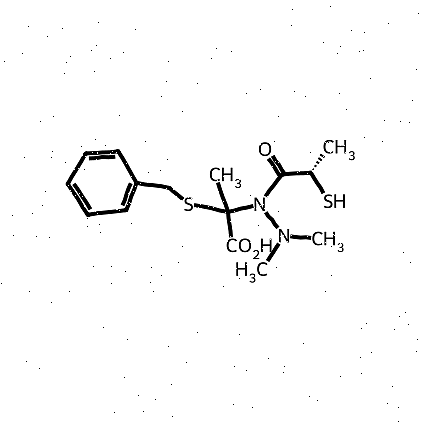 C[C@H](S)C(=O)N(N(C)C)C(C)(SCc1ccccc1)C(=O)O